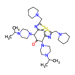 CC(C)N1CCN(C(C(=O)C(c2csc(CN3CCCCC3)n2)N2CCN(C(C)C)CC2)c2csc(CN3CCCCC3)n2)CC1